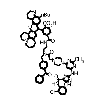 CCCCc1cc2c(c3c1=NCCC3)Oc1c(cc3c4c1CCCN4CCCC3)C=2c1cc(C(=O)NCCN(Cc2ccc(C(=O)c3ccccc3)cc2)C(=O)CN2CCN(c3cc(Nc4ncc(C(=O)Nc5c(C)cccc5Cl)s4)nc(C)n3)CC2)ccc1C(=O)O